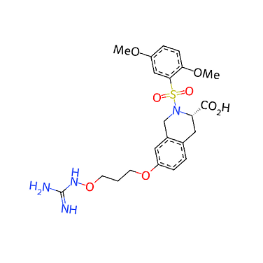 COc1ccc(OC)c(S(=O)(=O)N2Cc3cc(OCCCONC(=N)N)ccc3C[C@H]2C(=O)O)c1